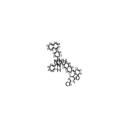 Clc1ccc2c(c1)oc1cccc(-c3ccc4cc(C5NC(c6ccc(-c7cccc8ccccc78)cc6)=NC(c6ccccc6)N5)ccc4c3)c12